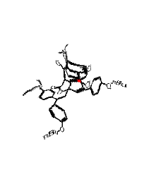 CCCCOc1ccc(/C(=C/C2(/C=C(/c3ccc(OCCCC)cc3)c3ccc(N(C)C)cc3)OC(=O)c3c(Cl)c(Cl)c(Cl)c(Cl)c32)c2ccc(N(C)C)cc2)cc1